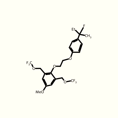 CCC(C)(F)c1ccc(OCCOc2c(COC(F)(F)F)cc(OC)cc2COC(F)(F)F)cc1